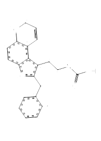 CC(=O)NCCc1c(Cc2ccccc2)oc2ccc3c(c12)C=CCO3